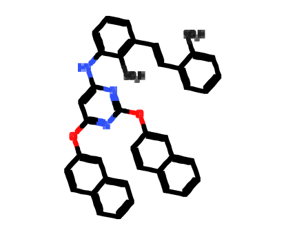 O=S(=O)(O)c1ccccc1C=Cc1cccc(Nc2cc(Oc3ccc4ccccc4c3)nc(Oc3ccc4ccccc4c3)n2)c1S(=O)(=O)O